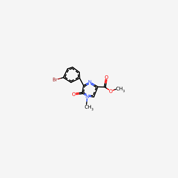 COC(=O)c1cn(C)c(=O)c(-c2cccc(Br)c2)n1